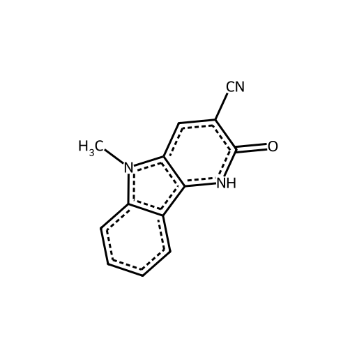 Cn1c2ccccc2c2[nH]c(=O)c(C#N)cc21